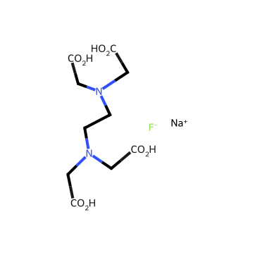 O=C(O)CN(CCN(CC(=O)O)CC(=O)O)CC(=O)O.[F-].[Na+]